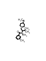 COC1CCN(CC(C(C)C)N(C)C(=O)c2cccc(C)c2)CC1